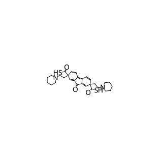 O=C1C2=CC(CCN3CCCCC3)(C(=O)S)C=CC2=C2C=CC(CCN3CCCCC3)(C(=O)S)C=C12